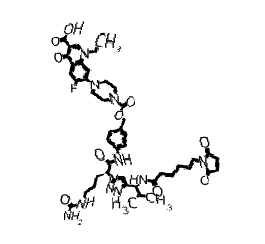 CCn1cc(C(=O)O)c(=O)c2cc(F)c(N3CCN(C(=O)OCc4ccc(NC(=O)[C@H](CCCNC(N)=O)n5cc([C@@H](NC(=O)CCCCCN6C(=O)C=CC6=O)C(C)C)nn5)cc4)CC3)cc21